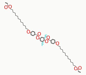 C=CC(=O)OCCCCCCCCCCCCCCOc1ccc(C(=O)Oc2cc(F)c(OC(=O)c3ccc(OCCCCCCCCCCCCCCOC(=O)C=C)cc3)c(F)c2)cc1